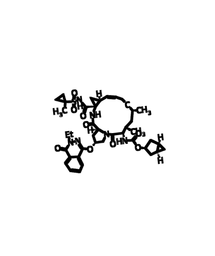 CCn1nc(O[C@@H]2C[C@H]3C(=O)N[C@]4(C(=O)NS(=O)(=O)C5(C)CC5)C[C@H]4/C=C\CC[C@@H](C)C[C@@H](C)[C@H](NC(=O)O[C@@H]4C[C@@H]5C[C@@H]5C4)C(=O)N3C2)c2ccccc2c1=O